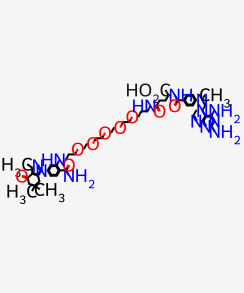 Cc1nn(-c2ccc(C(N)=O)c(NCCCOCCOCCOCCOCCOCCCNC(=O)CCC(NC(=O)c3ccc(N(C)CN4CC=Nc5nc(N)nc(N)c54)cc3)C(=O)O)c2)c2c1C(=O)CC(C)(C)C2